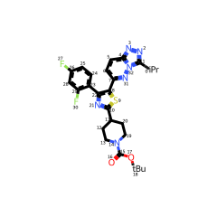 CC(C)c1nnc2ccc(-c3sc(C4CCN(C(=O)OC(C)(C)C)CC4)nc3-c3ccc(F)cc3F)nn12